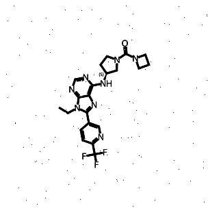 CCn1c(-c2ccc(C(F)(F)F)nc2)nc2c(N[C@H]3CCN(C(=O)N4CCC4)C3)ncnc21